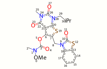 CON(C)C(=O)Oc1c(Cn2c(=O)sc3ccccc32)sc2c1c(=O)n(C)c(=O)n2CC(C)C